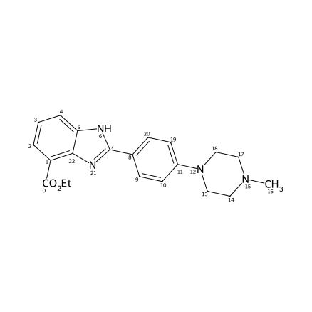 CCOC(=O)c1cccc2[nH]c(-c3ccc(N4CCN(C)CC4)cc3)nc12